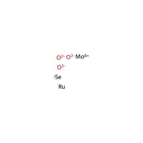 [Mo+6].[O-2].[O-2].[O-2].[Ru].[Se]